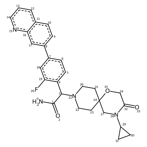 NC(=O)C(c1ccc(-c2ccc3cccnc3c2)cc1F)N1CCC2(CC1)CN(C1CC1)C(=O)CO2